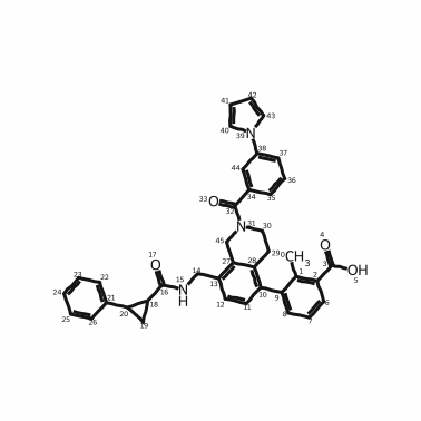 Cc1c(C(=O)O)cccc1-c1ccc(CNC(=O)C2CC2c2ccccc2)c2c1CCN(C(=O)c1cccc(-n3cccc3)c1)C2